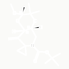 C=C1[C@H]2O[C@](C)(OC)C(C)(C)O[C@@H]2CN(C(=O)OC(C)(C)C)C12CC2